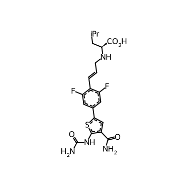 CC(C)C[C@H](NCC=Cc1c(F)cc(-c2cc(C(N)=O)c(NC(N)=O)s2)cc1F)C(=O)O